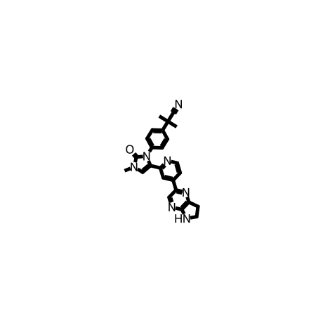 Cn1cc(-c2cc(-c3cnc4c(n3)CCN4)ccn2)n(-c2ccc(C(C)(C)C#N)cc2)c1=O